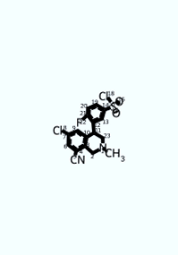 CN1Cc2c(C#N)cc(Cl)cc2C(c2cc(S(=O)(=O)Cl)ccc2F)C1